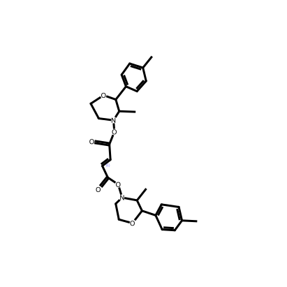 Cc1ccc(C2OCCN(OC(=O)/C=C/C(=O)ON3CCOC(c4ccc(C)cc4)C3C)C2C)cc1